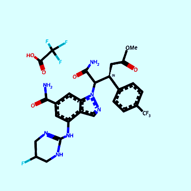 COC(=O)C[C@@H](c1ccc(C(F)(F)F)cc1)C(C(N)=O)n1ncc2c(NC3=NCC(F)CN3)cc(C(N)=O)cc21.O=C(O)C(F)(F)F